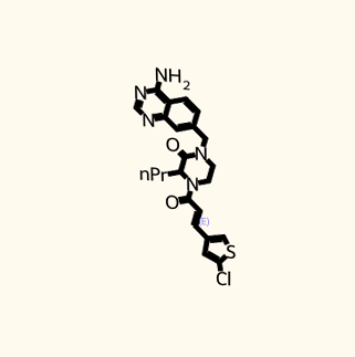 CCCC1C(=O)N(Cc2ccc3c(N)ncnc3c2)CCN1C(=O)/C=C/c1csc(Cl)c1